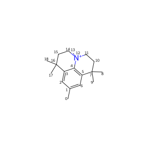 Cc1cc2c3c(c1)C(C)(C)CC[N+]3(C)CCC2(C)C